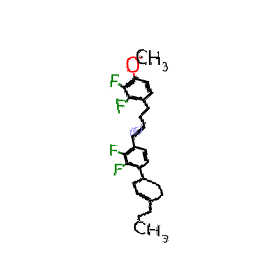 CCCC1=CCC(c2ccc(/C=C/CCc3ccc(OC)c(F)c3F)c(F)c2F)CC1